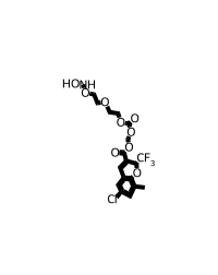 Cc1cc(Cl)cc2c1OC(C(F)(F)F)C(C(=O)OCOC(=O)OCCOCCONO)=C2